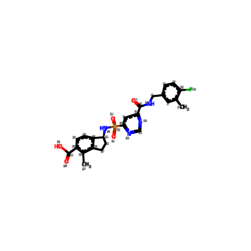 Cc1cc(CNC(=O)c2cc(S(=O)(=O)N[C@H]3CCc4c3ccc(C(=O)O)c4C)ncn2)ccc1F